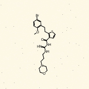 COc1ccc(Br)cc1CCc1sccc1C(=O)NC(=N)NCCCN1CCOCC1